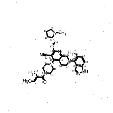 C/C=C(\C)C(=O)N1CCN(c2c(C#N)c(OC[C@@H]3CCCN3C)nc3c2CCN(c2c(C)ccc4[nH]ncc24)C3)CC1